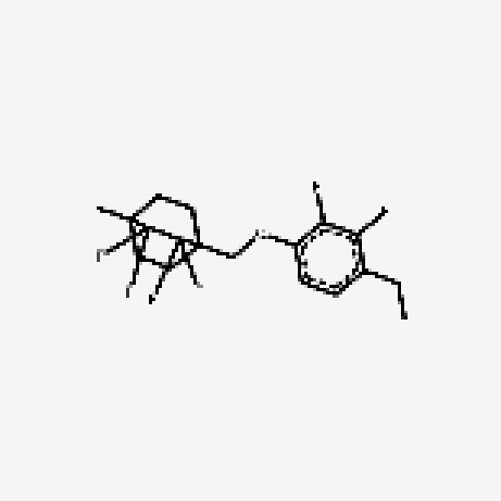 CCc1ccc(OCC23CCC(C)(CC2)C(F)(F)C3(F)F)c(F)c1F